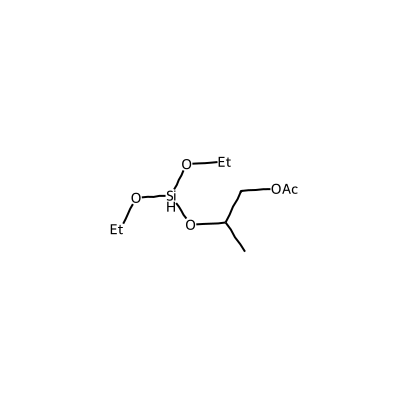 CCO[SiH](OCC)OC(C)COC(C)=O